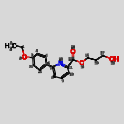 CCOc1ccc(-c2cccc(C(=O)OCCCO)n2)cc1